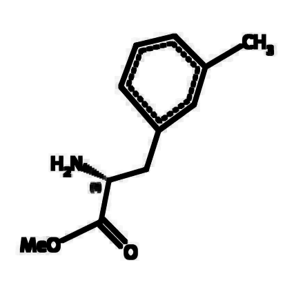 COC(=O)[C@H](N)Cc1cccc(C)c1